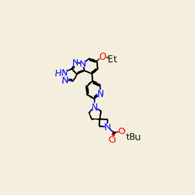 CCOc1cc(-c2ccc(N3CCC4(CN(C(=O)OC(C)(C)C)C4)C3)nc2)c2c3cn[nH]c3nn2c1